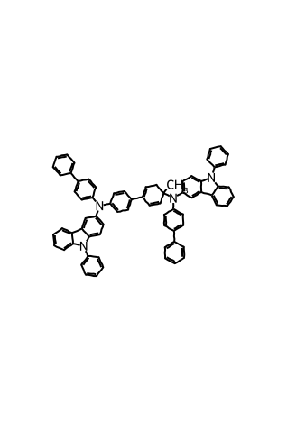 CC1(N(c2ccc(-c3ccccc3)cc2)c2ccc3c(c2)c2ccccc2n3-c2ccccc2)C=CC(c2ccc(N(c3ccc(-c4ccccc4)cc3)c3ccc4c(c3)c3ccccc3n4-c3ccccc3)cc2)=CC1